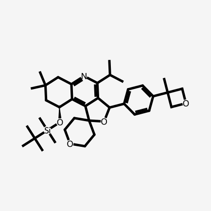 CC(C)c1nc2c(c3c1C(c1ccc(C4(C)COC4)cc1)OC31CCOCC1)[C@@H](O[Si](C)(C)C(C)(C)C)CC(C)(C)C2